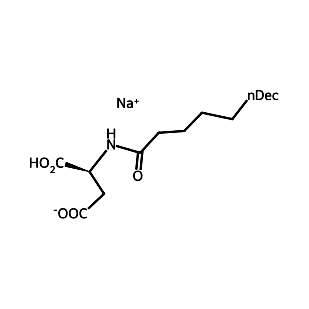 CCCCCCCCCCCCCCC(=O)N[C@@H](CC(=O)[O-])C(=O)O.[Na+]